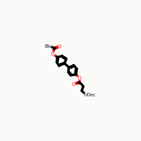 CCCCCCCCCCCCC(=O)Oc1ccc(-c2ccc(OC(=O)C(C)CC)cc2)cc1